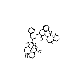 COC(=O)C1CCC[C@@H]2SCCC(NC(=O)C(CCC(Cc3ccccc3)C(=O)NC3CCSC4CCCC(C)N4C3=O)Cc3ccccc3)C(=O)N12